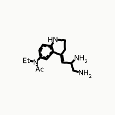 CCN(C(C)=O)c1ccc2c(c1)/C(=C/C(N)CN)CCN2